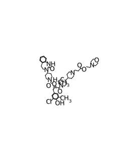 Cc1cc(C[C@@H](OC(=O)N2CCC(N3CCc4ccccc4NC3=O)CC2)C(=O)N(C)CCC(C)C2CCN(CCC(=O)OCCN3CCOCC3)CC2)cc(Cl)c1O